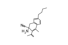 C=C(C)C1=C(C)c2ccc(CCCC)cc2CC1(N)C#N